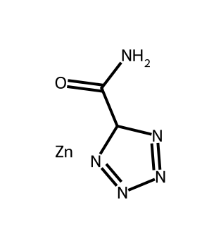 NC(=O)C1N=NN=N1.[Zn]